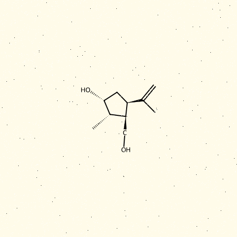 C=C(C)[C@@H]1C[C@@H](O)[C@@H](C)[C@@H]1CO